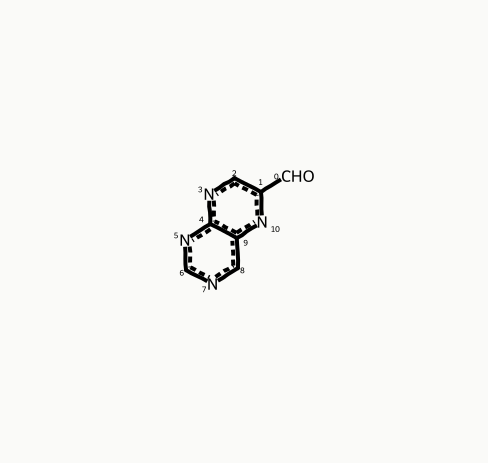 O=Cc1cnc2ncncc2n1